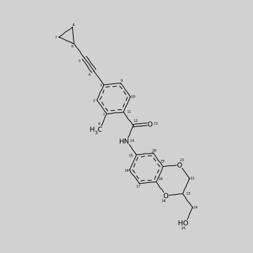 Cc1cc(C#CC2CC2)ccc1C(=O)Nc1ccc2c(c1)OCC(CO)O2